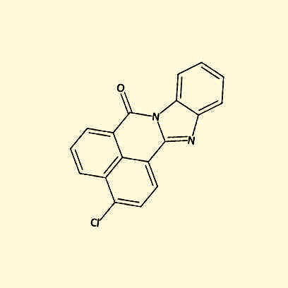 O=c1c2cccc3c(Cl)ccc(c32)c2nc3ccccc3n12